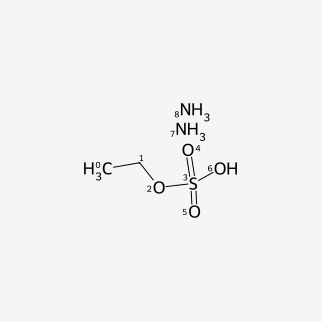 CCOS(=O)(=O)O.N.N